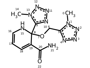 Cn1nnnc1COC1(c2nnnn2C)NC=CC=C1C(N)=O